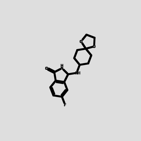 O=C1NC(NC2CCC3(CC2)OCCO3)c2cc(F)ccc21